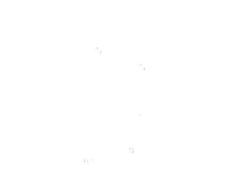 CCCCC(=O)N1CCC2(CCN(c3ccccc3C#N)CC2)C1